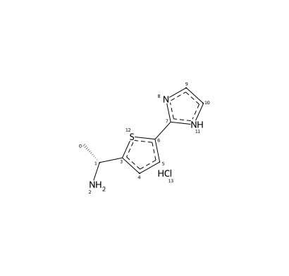 C[C@@H](N)c1ccc(-c2ncc[nH]2)s1.Cl